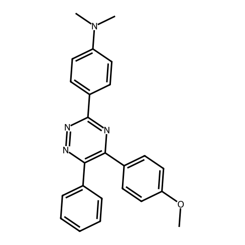 COc1ccc(-c2nc(-c3ccc(N(C)C)cc3)nnc2-c2ccccc2)cc1